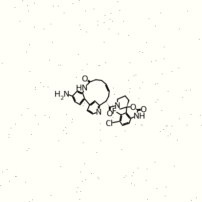 Nc1ccc2c(c1)NC(=O)CC/C=C\C[C@H](C(=O)N1CCC[C@@]3(C1)OC(=O)Nc1ccc(Cl)c(F)c13)c1cc-2ccn1